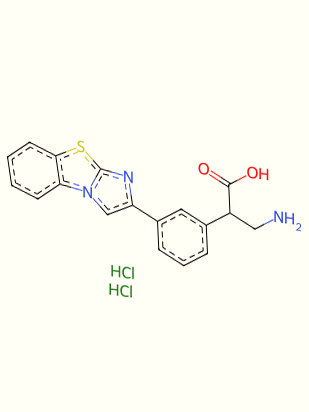 Cl.Cl.NCC(C(=O)O)c1cccc(-c2cn3c(n2)sc2ccccc23)c1